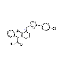 O=C(O)c1c2c(nc3ccccc13)/C(=C/c1ccc(-c3ccc(Cl)cc3)o1)CCC2